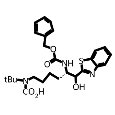 CC(C)(C)N(CCCC[C@H](NC(=O)OCc1ccccc1)C(O)c1nc2ccccc2s1)C(=O)O